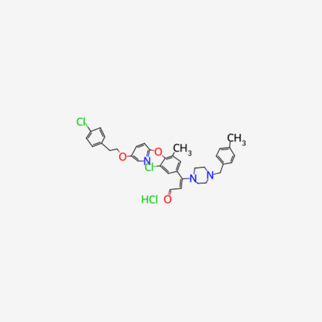 Cc1ccc(CN2CCN(/C(=C/C=O)c3cc(C)c(Oc4ccc(OCCc5ccc(Cl)cc5)cn4)c(Cl)c3)CC2)cc1.Cl